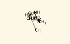 CCCCCCCCCCCCCC(CC)NS(=O)(=O)c1ccc2[nH]cc(-c3c[nH]c4c(NS(C)(=O)=O)cccc34)c2c1